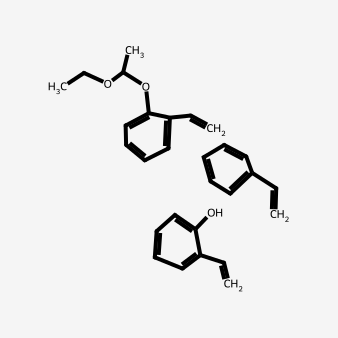 C=Cc1ccccc1.C=Cc1ccccc1O.C=Cc1ccccc1OC(C)OCC